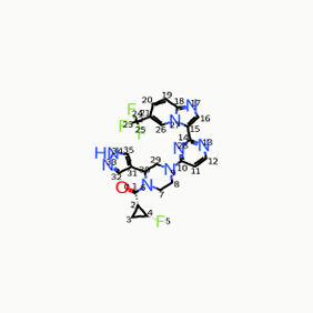 O=C([C@H]1C[C@H]1F)N1CCN(c2ccnc(-c3cnc4ccc(C(F)(F)F)cn34)n2)CC1c1cn[nH]c1